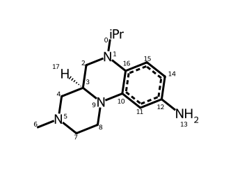 CC(C)N1C[C@@H]2CN(C)CCN2c2cc(N)ccc21